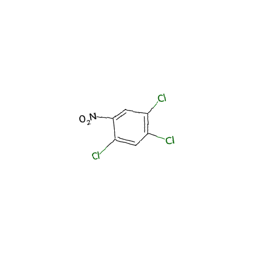 O=[N+]([O-])c1cc(Cl)c(Cl)cc1Cl